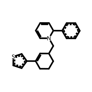 C1=CC(c2ccccc2)N(CC2C=C(c3ccsc3)CCC2)C=C1